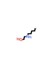 [CH2]CCCCNCCO